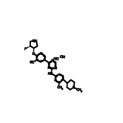 Cc1cc(Nc2ncnc(-c3ccc(O[C@H]4CCNC[C@H]4F)c(C#N)c3)n2)ccc1C1CCN(C)CC1.Cl.Cl